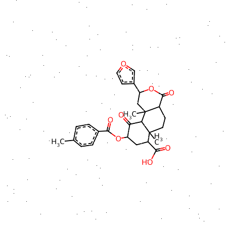 Cc1ccc(C(=O)OC2CC(C(=O)O)C3(C)CCC4C(=O)OC(c5ccoc5)CC4(C)C3C2=O)cc1